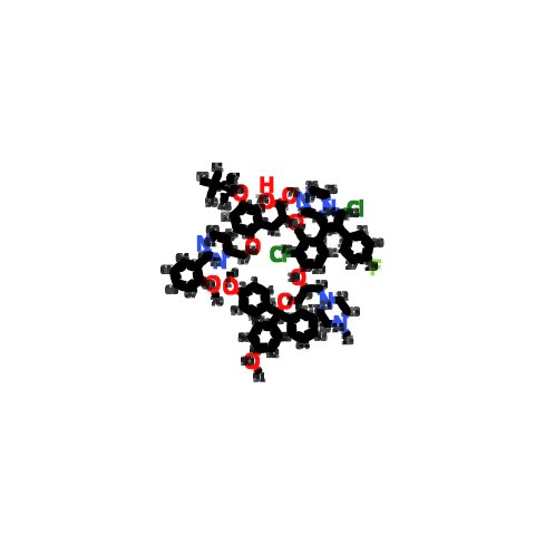 COc1ccc(C(OCC(CN2CCN(C)CC2)Oc2ccc(-c3c(-c4ccc(F)cc4)c(Cl)n4ccnc(OC(Cc5cc(O[Si](C)(C)C(C)(C)C)ccc5OCc5ccnc(-c6ccccc6OC)n5)C(=O)O)c34)c(C)c2Cl)(c2ccccc2)c2ccc(OC)cc2)cc1